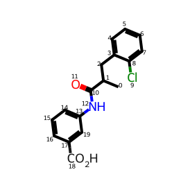 CC(Cc1ccccc1Cl)C(=O)Nc1cccc(C(=O)O)c1